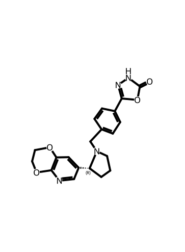 O=c1[nH]nc(-c2ccc(CN3CCC[C@@H]3c3cnc4c(c3)OCCO4)cc2)o1